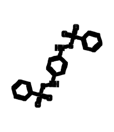 O=S(=O)(SNc1ccc(NSS(=O)(=O)c2ccccc2)cc1)c1ccccc1